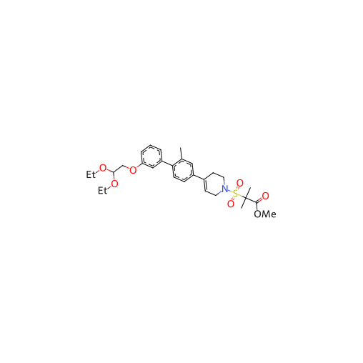 CCOC(COc1cccc(-c2ccc(C3=CCN(S(=O)(=O)C(C)(C)C(=O)OC)CC3)cc2C)c1)OCC